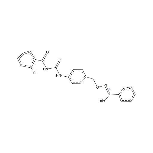 CCC/C(=N\OCc1ccc(NC(=O)NC(=O)c2ccccc2Cl)cc1)c1ccccc1